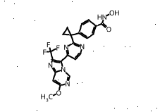 COc1cc2nc(C(F)(F)F)c(-c3ccnc(C4(c5ccc(C(=O)NO)cc5)CC4)n3)n2cn1